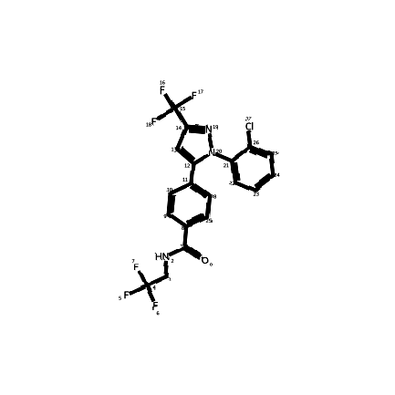 O=C(NCC(F)(F)F)c1ccc(-c2cc(C(F)(F)F)nn2-c2ccccc2Cl)cc1